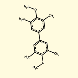 COc1c(C)cc(-c2cc(C)c(OC)c(N)c2)cc1C